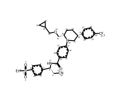 CCS(=O)(=O)c1ccc([C@@H](CC#N)NC(=O)c2ccc(N3C[C@@H](c4ccc(C(F)(F)F)cc4)CC[C@H]3COCC3CC3)cc2)cc1